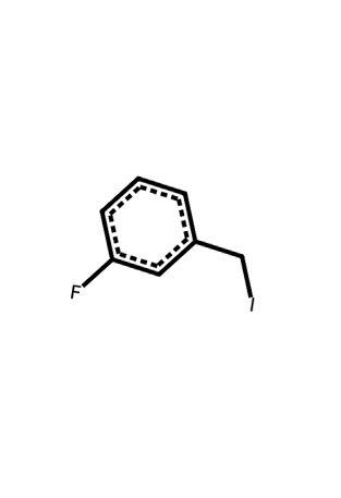 Fc1cccc(CI)c1